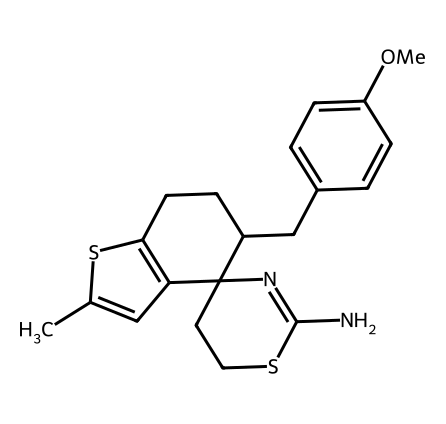 COc1ccc(CC2CCc3sc(C)cc3C23CCSC(N)=N3)cc1